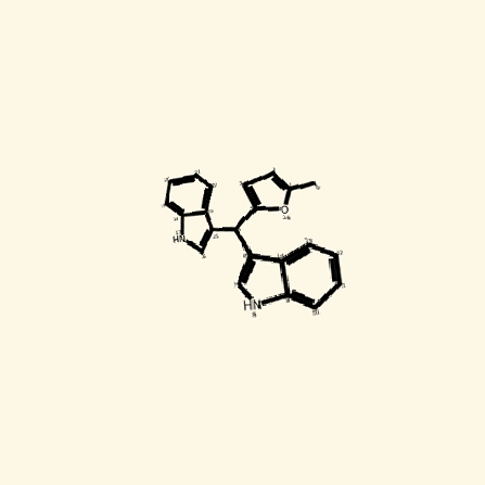 Cc1ccc(C(c2c[nH]c3ccccc23)c2c[nH]c3ccccc23)o1